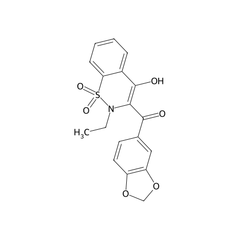 CCN1C(C(=O)c2ccc3c(c2)OCO3)=C(O)c2ccccc2S1(=O)=O